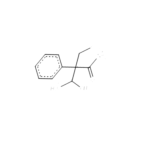 CCC(C(N)=O)(c1ccccc1)C(C)C